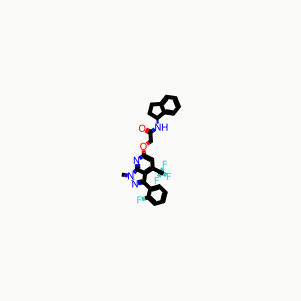 Cn1nc(-c2ccccc2F)c2c(C(F)(F)F)cc(OCC(=O)N[C@H]3CCc4ccccc43)nc21